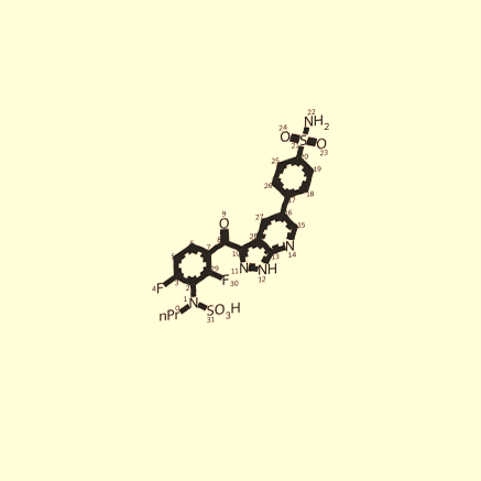 CCCN(c1c(F)ccc(C(=O)c2n[nH]c3ncc(-c4ccc(S(N)(=O)=O)cc4)cc23)c1F)S(=O)(=O)O